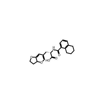 O=C(N[C@@H](CC1=COC2CCOC2=C1)C(=O)O)c1cccc2c1CCCC2